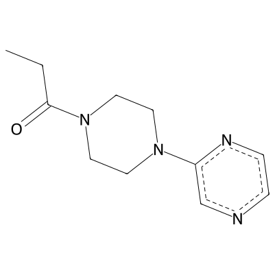 CCC(=O)N1CCN(c2cnccn2)CC1